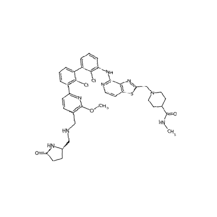 CNC(=O)C1CCN(Cc2nc3c(Nc4cccc(-c5cccc(-c6ccc(CNC[C@H]7CCC(=O)N7)c(OC)n6)c5Cl)c4Cl)nccc3s2)CC1